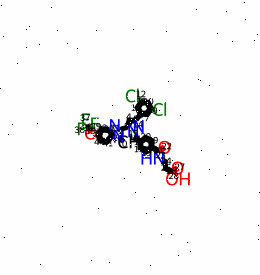 Cn1c(-c2cc(-c3cc(Cl)cc(Cl)c3)nn2Cc2ccc(C(=O)NCCC(=O)O)cc2)nc2cc(OC(F)(F)F)ccc21